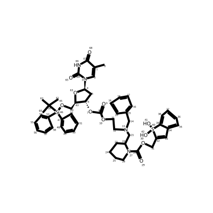 Cc1cn([C@H]2C[C@H](OC(=O)OCCN(Cc3ccccc3)CC3CCCCN3C(=O)OCC3=Cc4ccccc4S3(O)O)[C@@H](CO[Si](c3ccccc3)(c3ccccc3)C(C)(C)C)O2)c(=O)[nH]c1=O